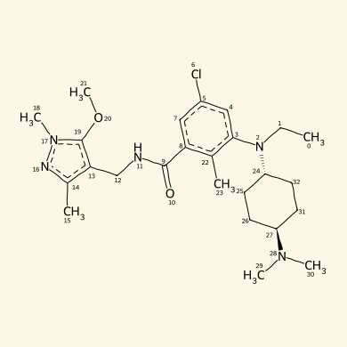 CCN(c1cc(Cl)cc(C(=O)NCc2c(C)nn(C)c2OC)c1C)[C@H]1CC[C@H](N(C)C)CC1